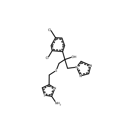 Nc1nc(CSCC(O)(Cn2cncn2)c2ccc(Cl)cc2Cl)cs1